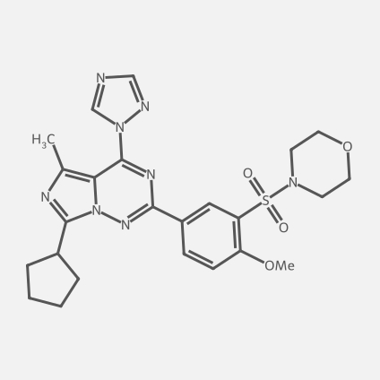 COc1ccc(-c2nc(-n3cncn3)c3c(C)nc(C4CCCC4)n3n2)cc1S(=O)(=O)N1CCOCC1